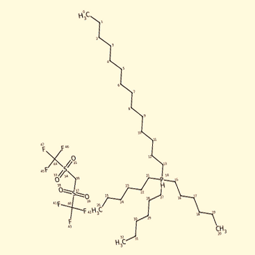 CCCCCCCCCCCCCC[PH](CCCCCC)(CCCCCC)CCCCCC.O=S(=O)(CS(=O)(=O)C(F)(F)F)C(F)(F)F